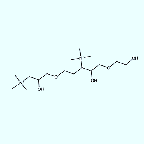 C[N+](C)(C)CC(O)COCCC(C(O)COCCO)[N+](C)(C)C